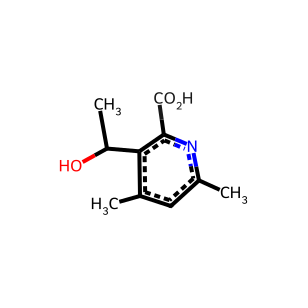 Cc1cc(C)c(C(C)O)c(C(=O)O)n1